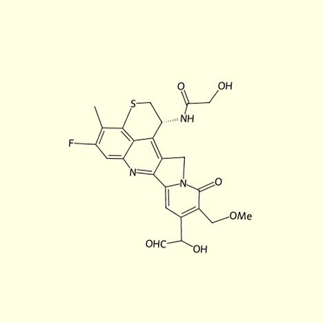 COCc1c(C(O)C=O)cc2n(c1=O)Cc1c-2nc2cc(F)c(C)c3c2c1[C@@H](NC(=O)CO)CS3